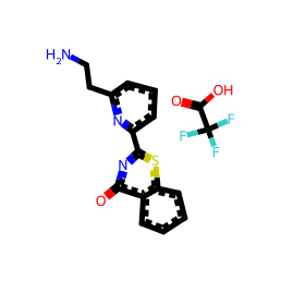 NCCc1cccc(-c2nc(=O)c3ccccc3s2)n1.O=C(O)C(F)(F)F